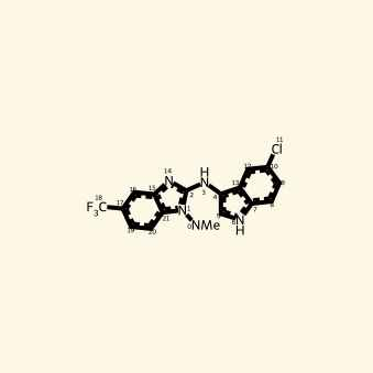 CNn1c(Nc2c[nH]c3ccc(Cl)cc23)nc2cc(C(F)(F)F)ccc21